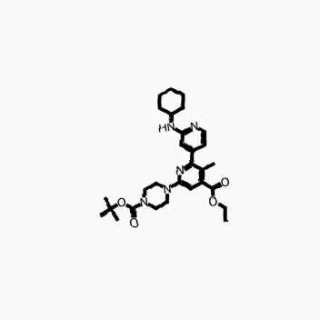 CCOC(=O)c1cc(N2CCN(C(=O)OC(C)(C)C)CC2)nc(-c2ccnc(NC3CCCCC3)c2)c1C